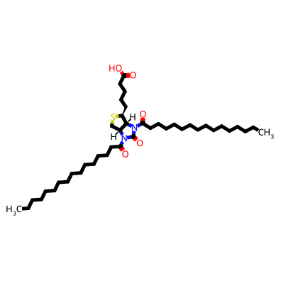 CCCCCCCCCCCCCCCC(=O)N1C(=O)N(C(=O)CCCCCCCCCCCCCCC)[C@H]2CS[C@@H](CCCCC(=O)O)[C@H]21